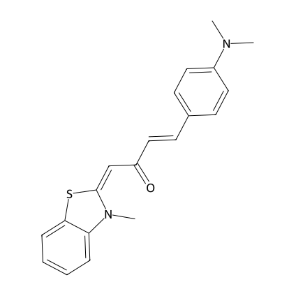 CN(C)c1ccc(/C=C/C(=O)C=C2Sc3ccccc3N2C)cc1